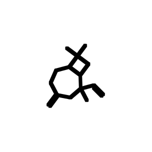 C=CC1(C)CC(=C)CCC2C1CC2(C)C